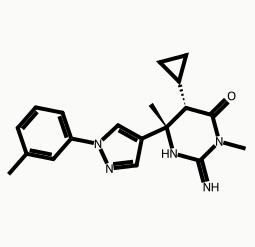 Cc1cccc(-n2cc([C@@]3(C)NC(=N)N(C)C(=O)[C@H]3C3CC3)cn2)c1